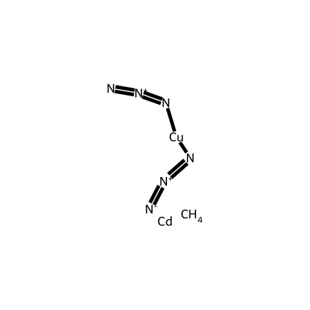 C.[Cd].[N-]=[N+]=[N][Cu][N]=[N+]=[N-]